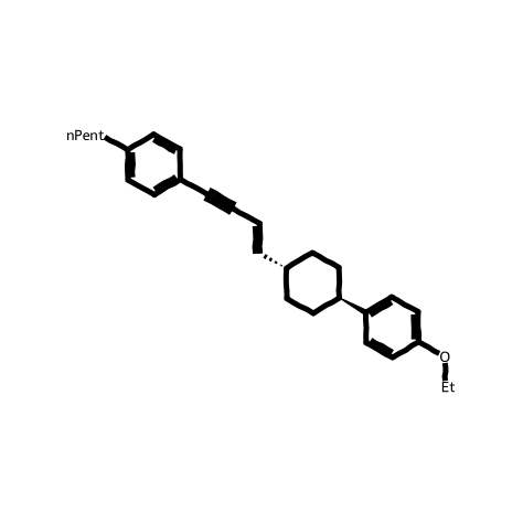 CCCCCc1ccc(C#CC=C[C@H]2CC[C@H](c3ccc(OCC)cc3)CC2)cc1